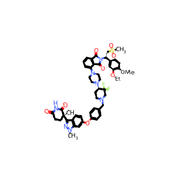 CCOc1cc([C@@H](CS(C)(=O)=O)N2C(=O)c3cccc(N4CCN([C@@H]5CCN(Cc6ccc(Oc7ccc8c([C@@]9(C)CCC(=O)NC9=O)nn(C)c8c7)cc6)CC5(F)F)CC4)c3C2=O)ccc1OC